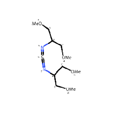 COCC(COC)N=C=NC(COC)COC